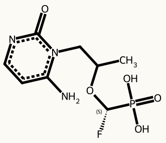 CC(Cn1c(N)ccnc1=O)O[C@@H](F)P(=O)(O)O